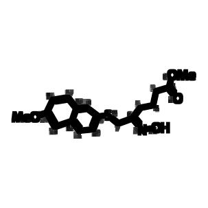 COC(=O)CCC/C(CSc1ccc2cc(OC)ccc2c1)=N\O